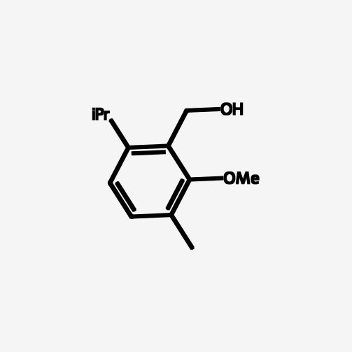 COc1c(C)ccc(C(C)C)c1CO